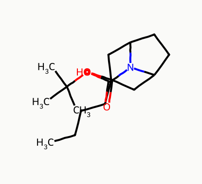 CCCCC1(O)CC2CCC(C1)N2C(=O)OC(C)(C)C